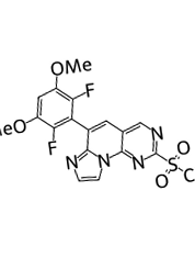 COc1cc(OC)c(F)c(-c2cc3cnc(S(C)(=O)=O)nc3n3ccnc23)c1F